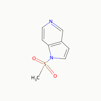 CS(=O)(=O)n1ccc2cnccc21